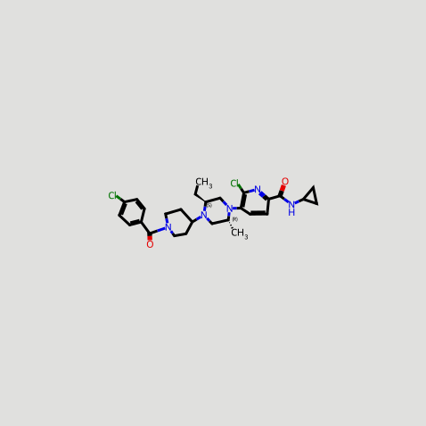 CC[C@H]1CN(c2ccc(C(=O)NC3CC3)nc2Cl)[C@H](C)CN1C1CCN(C(=O)c2ccc(Cl)cc2)CC1